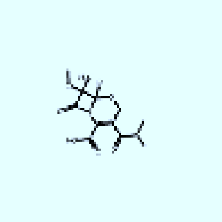 COC1(N)C(=O)N2C(C(=O)O)=C(C(=O)C(C)C)CS[C@H]21